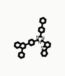 c1ccc(-c2ccc(-c3nc(-c4ccc(-c5cc(-c6ccccc6)c6ccccc6c5)cc4)nc(-c4cccc5c4sc4ccccc45)n3)cc2)cc1